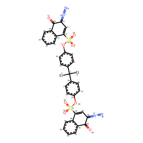 CCC(CC)(c1ccc(OS(=O)(=O)C2=CC(=[N+]=[N-])C(=O)c3ccccc32)cc1)c1ccc(OS(=O)(=O)C2=CC(=[N+]=[N-])C(=O)c3ccccc32)cc1